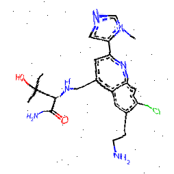 Cn1cncc1-c1cc(CN[C@@H](C(N)=O)C(C)(C)O)c2cc(CCN)c(Cl)cc2n1